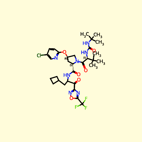 CC(C)(C)NC(=O)N[C@H](C(=O)N1C[C@H](Oc2ccc(Cl)cn2)C[C@H]1C(=O)NC(CC1CCC1)C(=O)c1noc(C(F)(F)F)n1)C(C)(C)C